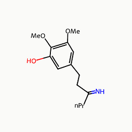 CCCC(=N)CCc1cc(O)c(OC)c(OC)c1